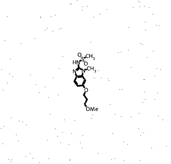 COCCCOc1ccc2nc(NS(C)(=O)=O)n(C)c2c1